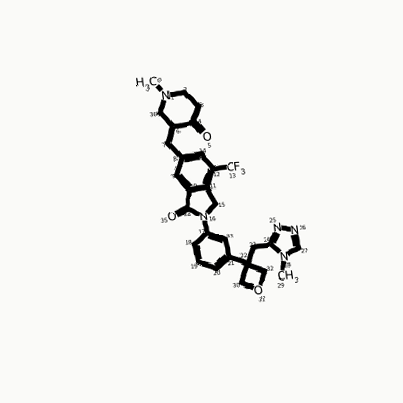 CN1CCC(=O)C(Cc2cc3c(c(C(F)(F)F)c2)CN(c2cccc(C4(Cc5nncn5C)COC4)c2)C3=O)C1